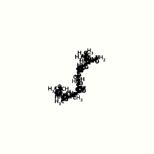 CC(=O)O[C@@H](C)/C=C\C(=O)N[C@@H]1C[C@H](C)[C@H](C/C=C(C)/C=C/[C@@H]2C[C@]3(CO3)C[C@@H](CC(=O)NNC(=O)OCc3ccc(NC(=O)[C@H](CCCNC(N)=O)NC(=O)[C@@H](N)C(C)C)cc3)O2)O[C@@H]1C